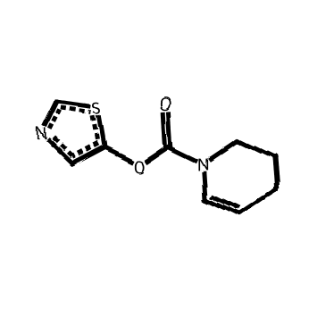 O=C(Oc1cncs1)N1C=CCCC1